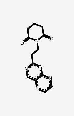 O=C1CCCC(=O)N1CCc1ncc2nccnc2n1